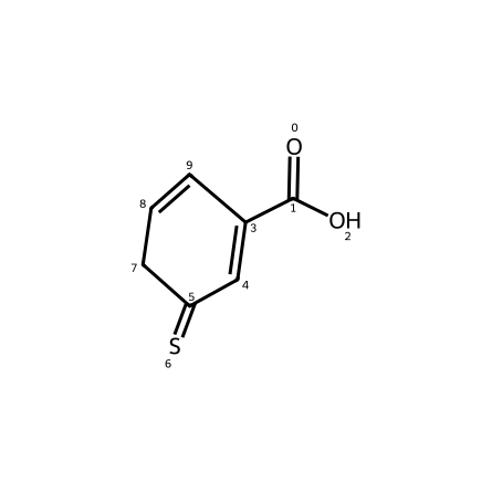 O=C(O)C1=CC(=S)CC=C1